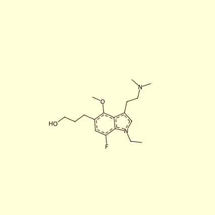 CCn1cc(CCN(C)C)c2c(OC)c(CCCO)cc(F)c21